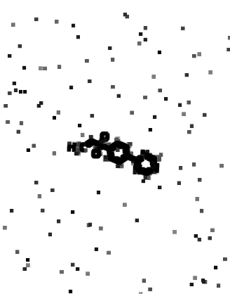 C=CS(=O)(=O)c1ccc(-c2n[c]ncn2)cc1